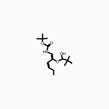 CC/C=C\C(=C/NC(=O)OC(C)(C)C)OC(O)C(C)(C)C